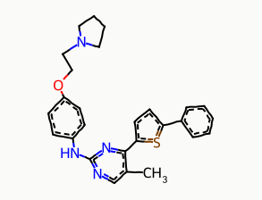 Cc1cnc(Nc2ccc(OCCN3CCCC3)cc2)nc1-c1ccc(-c2ccccc2)s1